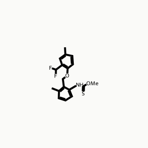 COC(=S)Nc1cccc(C)c1COc1ccc(C)cc1C(F)F